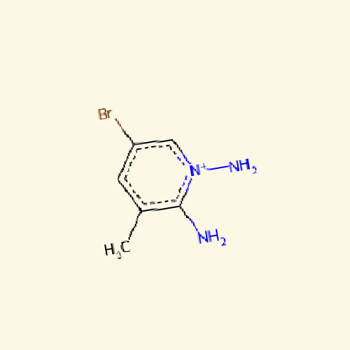 Cc1cc(Br)c[n+](N)c1N